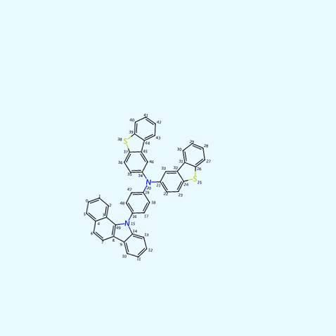 c1ccc2c(c1)ccc1c3ccccc3n(-c3ccc(N(c4ccc5sc6ccccc6c5c4)c4ccc5sc6ccccc6c5c4)cc3)c21